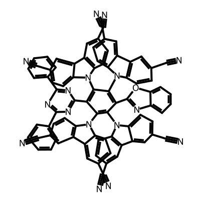 N#Cc1ccc2c(c1)c1cc(C#N)ccc1n2-c1c(-c2nc(-c3ccccc3)nc(-c3ccccc3)n2)c(-n2c3ccc(C#N)cc3c3cc(C#N)ccc32)c(-n2c3ccc(C#N)cc3c3cc(C#N)ccc32)c(-c2nc3ccccc3o2)c1-n1c2ccc(C#N)cc2c2cc(C#N)ccc21